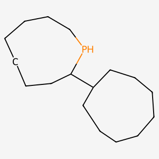 C1CCCCC(C2CCCCCCCP2)CCC1